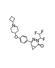 O=C1C2CC2C(c2ccc(OC3CCN(C4CCC4)CC3)cc2)=NN1C(F)C(F)F